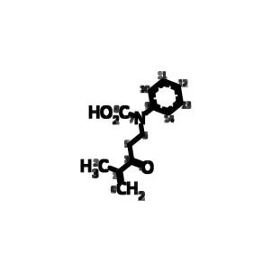 C=C(C)C(=O)CCN(C(=O)O)c1ccccc1